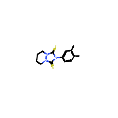 Cc1ccc(-n2c(=S)n3n(c2=S)CCCC3)cc1C